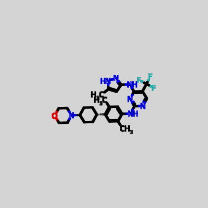 Cc1cc(Nc2nc(Nc3cc(C)c([C@H]4CC[C@H](N5CCOCC5)CC4)cc3C)ncc2C(F)(F)F)n[nH]1